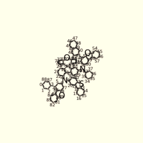 c1ccc(-c2cc(N(c3ccc4sc5ccccc5c4c3)c3cccc4c3-c3ccc(N(c5ccccc5)c5cc(-c6ccc7ccccc7c6)c6oc7ccccc7c6c5)cc3C43c4ccccc4Oc4ccccc43)cc3oc4ccccc4c23)cc1